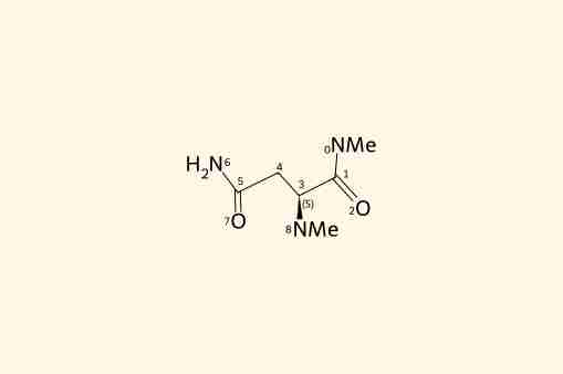 CNC(=O)[C@H](CC(N)=O)NC